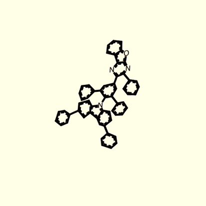 c1ccc(-c2ccc3c(c2)c2cc(-c4ccccc4)ccc2n3-c2c(-c3ccccc3)cc(-c3nc4c(nc3-c3ccccc3)oc3ccccc34)cc2-c2ccccc2)cc1